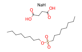 CCCCCCCCOS(=O)(=O)CCCCCCCC.O=C(O)CCC(=O)O.[NaH]